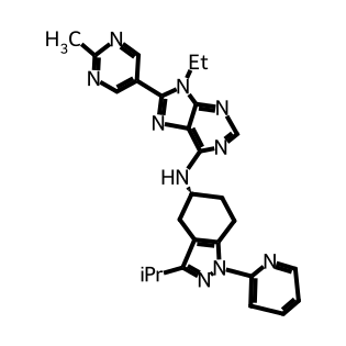 CCn1c(-c2cnc(C)nc2)nc2c(N[C@@H]3CCc4c(c(C(C)C)nn4-c4ccccn4)C3)ncnc21